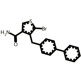 NC(=O)c1csc(Br)c1Cc1ccc(-c2ccccc2)cc1